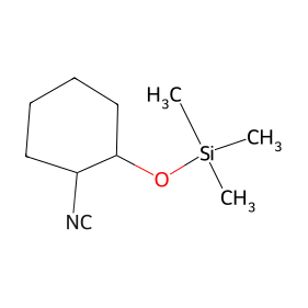 [C-]#[N+]C1CCCCC1O[Si](C)(C)C